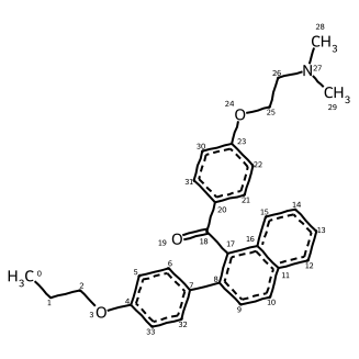 CCCOc1ccc(-c2ccc3ccccc3c2C(=O)c2ccc(OCCN(C)C)cc2)cc1